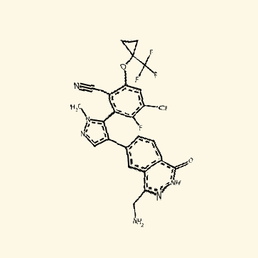 Cn1ncc(-c2ccc3c(=O)[nH]nc(CN)c3c2)c1-c1c(F)c(Cl)cc(OC2(C(F)(F)F)CC2)c1C#N